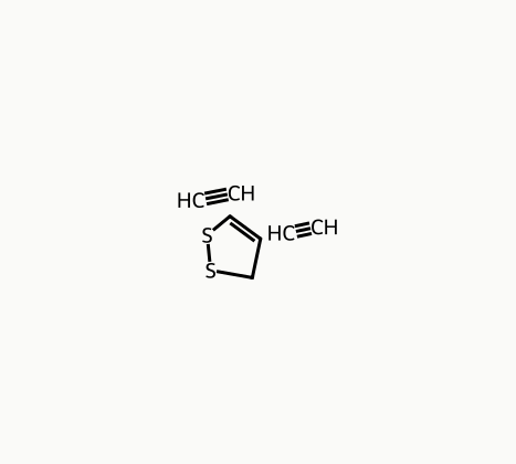 C#C.C#C.C1=CSSC1